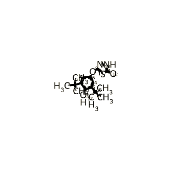 CC(C)(C)c1cc(Oc2n[nH]c(=O)s2)cc(C(C)(C)C)c1O